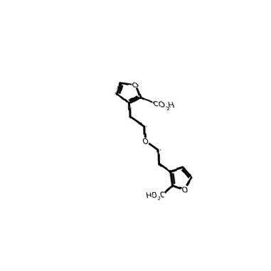 O=C(O)c1occc1C[CH]O[CH]Cc1ccoc1C(=O)O